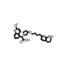 COc1ccc2c(C(C(=O)O)N3CCC(OCCCCc4ccc5c(n4)NCCC5)C3)cccc2n1